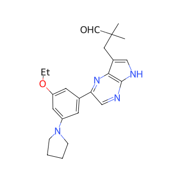 CCOc1cc(-c2cnc3[nH]cc(CC(C)(C)C=O)c3n2)cc(N2CCCC2)c1